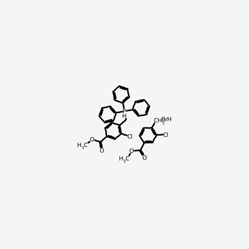 Br.COC(=O)c1ccc(C)c(Cl)c1.COC(=O)c1ccc(C[PH](c2ccccc2)(c2ccccc2)c2ccccc2)c(Cl)c1